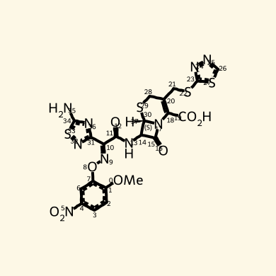 COc1ccc([N+](=O)[O-])cc1ON=C(C(=O)NC1C(=O)N2C(C(=O)O)=C(CSc3nncs3)CS[C@@H]12)c1nsc(N)n1